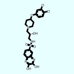 O=S(=O)(NC[C@@H](O)CN1CCC(Oc2ccc(Cl)c(Cl)c2)CC1)c1ccc2nc(O)c(O)nc2c1